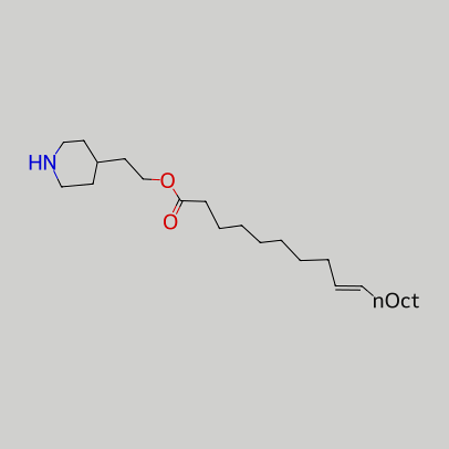 CCCCCCCCC=CCCCCCCCC(=O)OCCC1CCNCC1